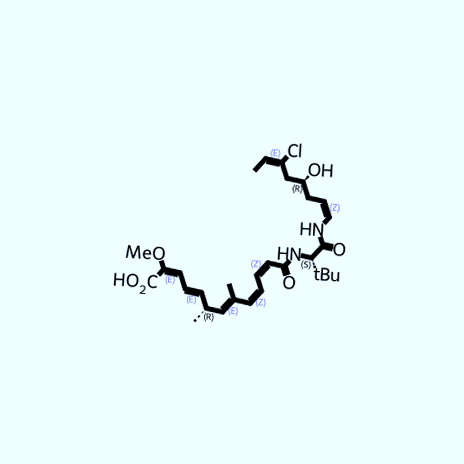 C/C=C(/Cl)C[C@H](O)C/C=C\NC(=O)[C@@H](NC(=O)\C=C/C=C\C(C)=C\[C@H](C)/C=C/C=C(/OC)C(=O)O)C(C)(C)C